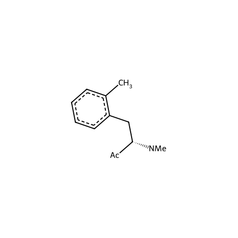 CN[C@@H](Cc1ccccc1C)C(C)=O